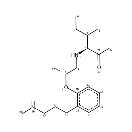 CCC(C)[C@H](NC[C@@H](C)Oc1ccccc1CCCNC)C(C)=O